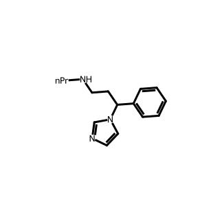 CCCNCCC(c1ccccc1)n1ccnc1